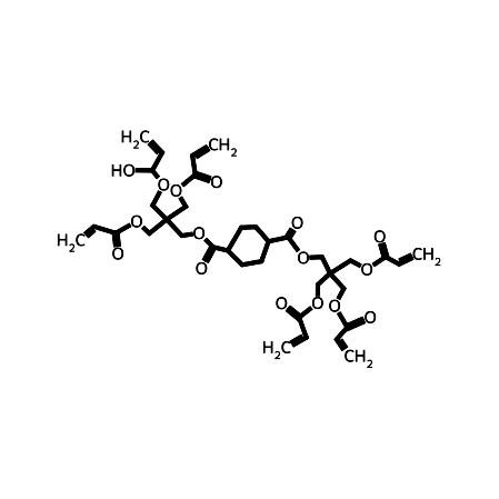 C=CC(=O)OCC(COC(=O)C=C)(COC(=O)C=C)COC(=O)C1CCC(C(=O)OCC(COC(=O)C=C)(COC(=O)C=C)COC(O)C=C)CC1